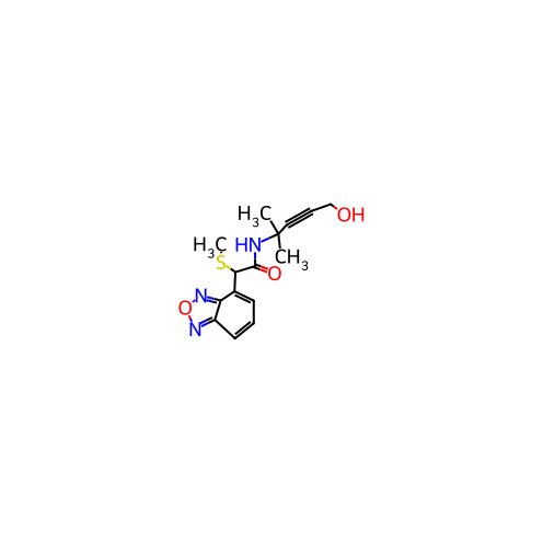 CSC(C(=O)NC(C)(C)C#CCO)c1cccc2nonc12